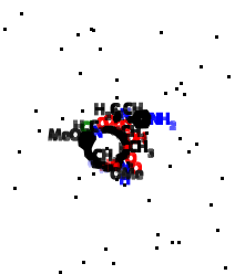 COc1cc2cc(c1Cl)N(C)C(=O)C[C@H](OC(=O)[C@H](C)N(C)C(=O)c1ccc(N)cc1)[C@@H](C)[C@@H](O)[C@H](C)[C@@H]1C[C@@](O)(NC(=O)O1)[C@H](OC)/C=C/C=C(\C)C2